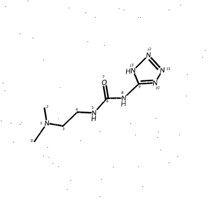 CN(C)CCNC(=O)Nc1nnn[nH]1